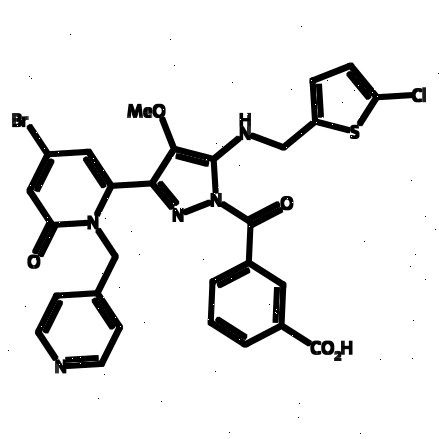 COc1c(-c2cc(Br)cc(=O)n2Cc2ccncc2)nn(C(=O)c2cccc(C(=O)O)c2)c1NCc1ccc(Cl)s1